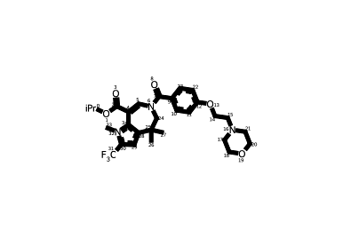 CC(C)OC(=O)C1=CN(C(=O)c2ccc(OCCN3CCOCC3)cc2)CC(C)(C)c2cc(C(F)(F)F)n(C)c21